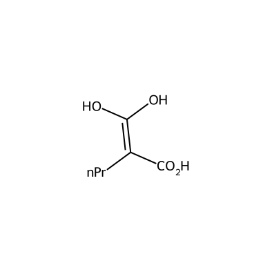 CCCC(C(=O)O)=C(O)O